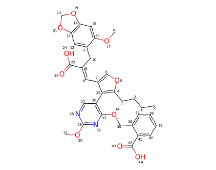 CCCCc1occ(/C=C(\Cc2cc3c(cc2OC)OCO3)C(=O)O)c1-c1cnc(OC)nc1OCc1ccccc1C(=O)O